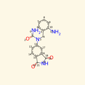 NC(=O)N(Cc1ccccc1N)c1ccc2c(c1)C(=O)NC2=O